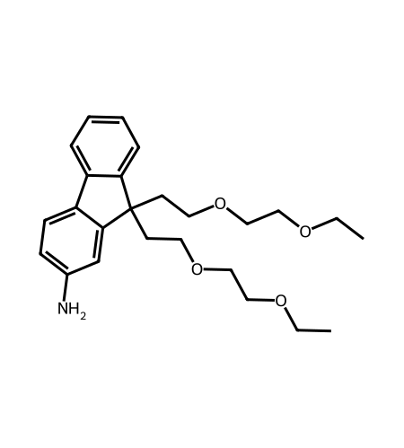 CCOCCOCCC1(CCOCCOCC)c2ccccc2-c2ccc(N)cc21